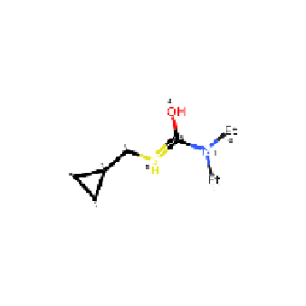 CCN(CC)C(O)=[SH]CC1CC1